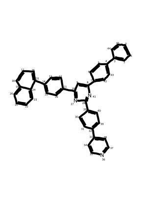 c1ccc(-c2ccc(-c3cc(-c4ccc(-c5cccc6ccccc56)cc4)nc(-c4ccc(-c5ccncc5)cc4)n3)cc2)cc1